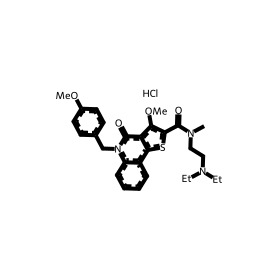 CCN(CC)CCN(C)C(=O)c1sc2c(c1OC)c(=O)n(Cc1ccc(OC)cc1)c1ccccc21.Cl